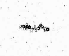 N=C/C(=C\NC1CCN(C(=O)NCCNc2ccc3c(c2)C(=O)N(C2CCC(=O)NC2=O)C3=O)CC1)c1cnc2ccccc2n1